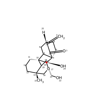 C=C1C(=O)[C@]23CC[C@H]1CC2[C@@]12CCC[C@@](C)(COC1)C2[C@H](CO)[C@H]3O